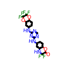 O=C1Oc2ccc(Nc3ncnc(Nc4ccc5c(c4)OC(F)(F)C(F)(F)O5)n3)cc2NC1(F)F